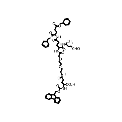 CC(CCC=O)NC(=O)C(CCC(=O)NC(CCC(=O)OCc1ccccc1)C(=O)OCc1ccccc1)NC(=O)COCCOCCNC(=O)CCC(NC(=O)OCC1c2ccccc2-c2ccccc21)C(=O)O